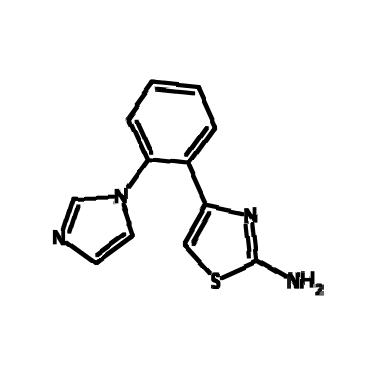 Nc1nc(-c2ccccc2-n2ccnc2)cs1